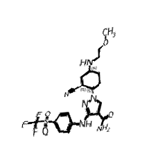 COCCN[C@H]1CC[C@H](n2cc(C(N)=O)c(Nc3ccc(S(=O)(=O)C(F)(F)F)cc3)n2)[C@@H](C#N)C1